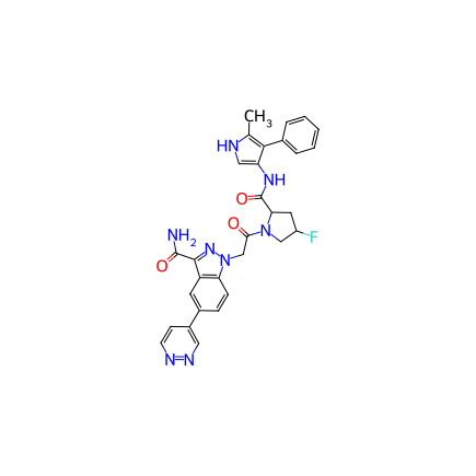 Cc1[nH]cc(NC(=O)C2CC(F)CN2C(=O)Cn2nc(C(N)=O)c3cc(-c4ccnnc4)ccc32)c1-c1ccccc1